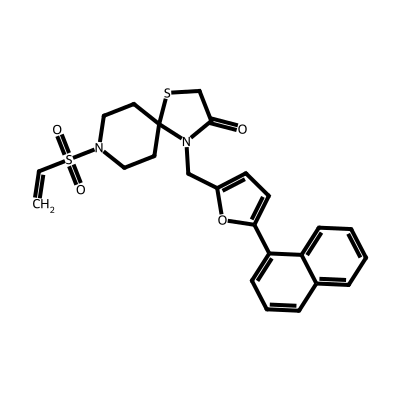 C=CS(=O)(=O)N1CCC2(CC1)SCC(=O)N2Cc1ccc(-c2cccc3ccccc23)o1